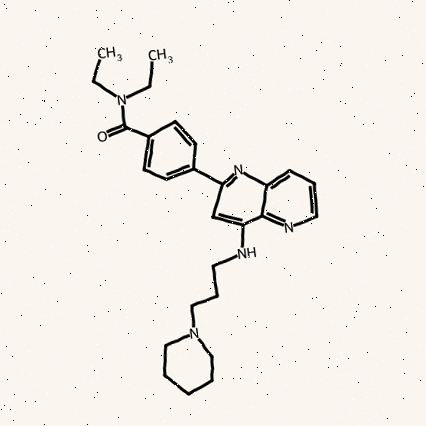 CCN(CC)C(=O)c1ccc(-c2cc(NCCCN3CCCCC3)c3ncccc3n2)cc1